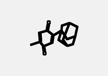 CC1=CC(=O)C(C23CC4CC(CC(C4)C2)C3)=CC1=O